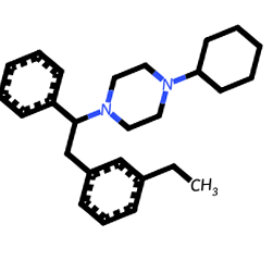 CCc1cccc(CC(c2ccccc2)N2CCN(C3CCCCC3)CC2)c1